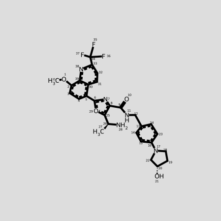 COc1ccc(-c2nc(C(=O)NCc3ccc(N4CC[C@H](O)C4)cc3)c([C@H](C)N)o2)c2ccc(C(F)(F)F)nc12